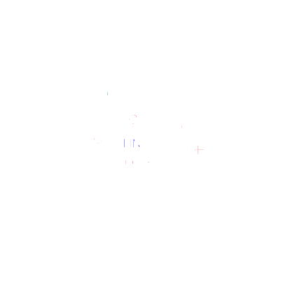 O=C(NC12C(=O)c3ccccc3C1(O)Oc1ccc(Cl)cc12)C1CCCO1